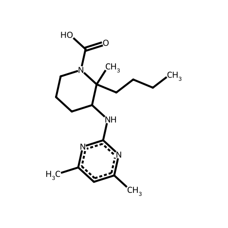 CCCCC1(C)C(Nc2nc(C)cc(C)n2)CCCN1C(=O)O